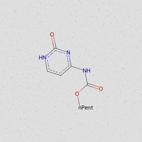 CCCCCOC(=O)Nc1cc[nH]c(=O)n1